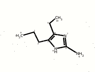 [CH2]CCc1[nH]c(N)nc1CC